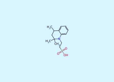 CC1CC(C)(C)N(CCS(=O)(=O)O)c2ccccc21